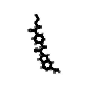 CCCNC(=O)c1ccc(NC(=O)N2Cc3ccc(N)cc3C2)cc1